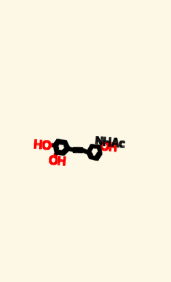 CC(=O)NC1(O)C=CC=C(C#Cc2ccc(O)c(O)c2)C1